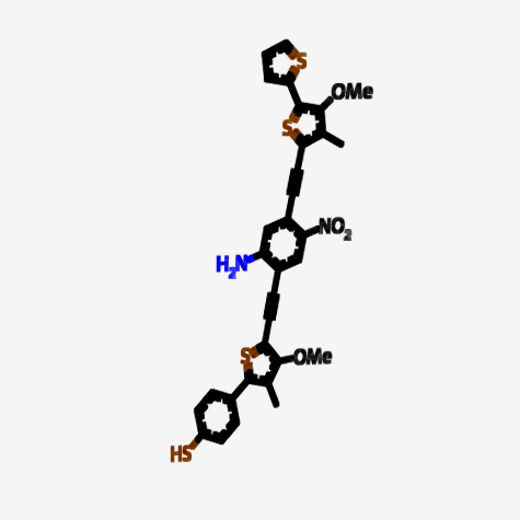 COc1c(C#Cc2cc([N+](=O)[O-])c(C#Cc3sc(-c4cccs4)c(OC)c3C)cc2N)sc(-c2ccc(S)cc2)c1C